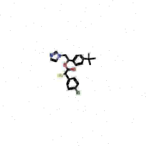 CC(C)(C)c1ccc(C(Cn2ccnc2)OC(=O)C(S)c2ccc(Cl)cc2)cc1